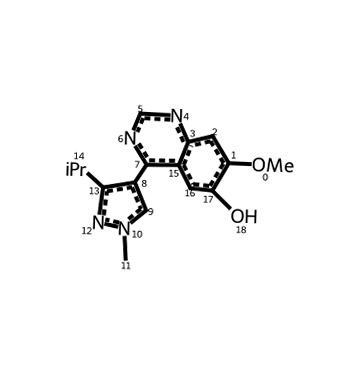 COc1cc2ncnc(-c3cn(C)nc3C(C)C)c2cc1O